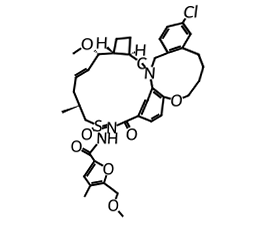 COCc1oc(C(=O)N[S@@]2(=O)=NC(=O)c3ccc4c(c3)N(Cc3ccc(Cl)cc3CCCCO4)C[C@@H]3CC[C@H]3[C@@H](OC)/C=C/C[C@H](C)C2)cc1C